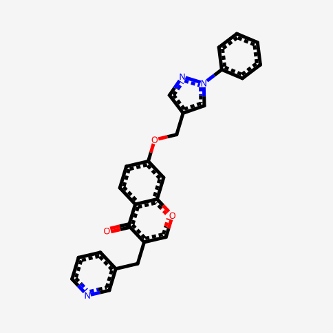 O=c1c(Cc2cccnc2)coc2cc(OCc3cnn(-c4ccccc4)c3)ccc12